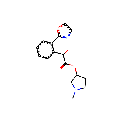 CN1CCC(OC(=O)C(O)c2ccccc2-c2ncco2)C1